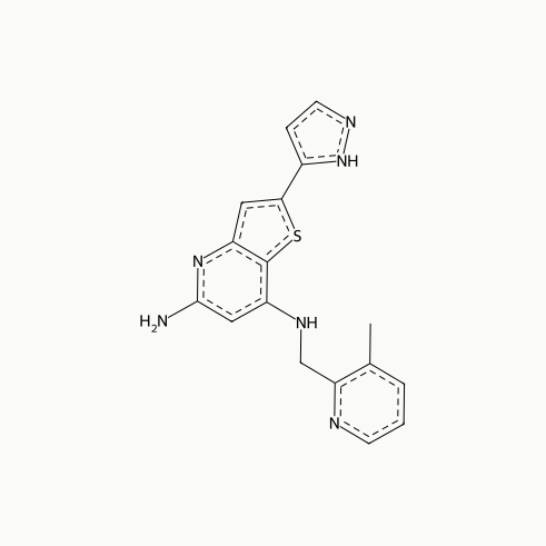 Cc1cccnc1CNc1cc(N)nc2cc(-c3ccn[nH]3)sc12